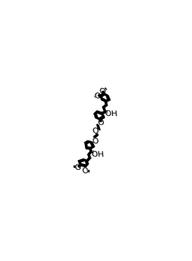 COc1ccc(CC[C@@H](O)c2cccc(OCCOCCOc3cccc([C@H](O)CCc4ccc(OC)c(OC)c4)c3)c2)cc1OC